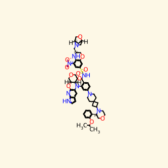 CC(C)Oc1ccccc1[C@@H]1COCCN1C1CC2(CCN(c3ccc(C(=O)NS(=O)(=O)c4cc5c(c([N+](=O)[O-])c4)N[C@@H](CN4C[C@@H]6C[C@H]4CO6)CO5)c(N4c5cc6cc[nH]c6nc5O[C@H]5COCC[C@@H]54)c3)CC2)C1